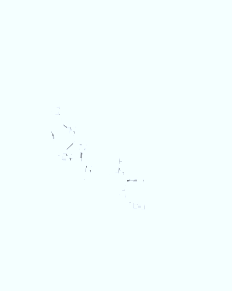 CN(CCNC(=O)OC(C)(C)C)c1nc2nc(Cl)ccc2[nH]1